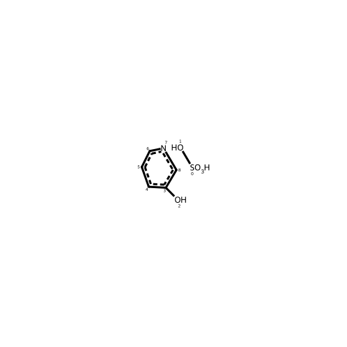 O=S(=O)(O)O.Oc1cccnc1